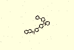 CN(c1ccc(-c2ccc(N(c3cccc(-c4ccccc4)c3)C3(C)C=CC=CC3)cc2)cc1)c1ccc2ccccc2c1